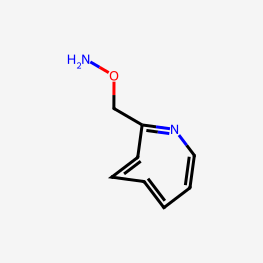 NOCC1=N/C=C\C=C\C=C\1